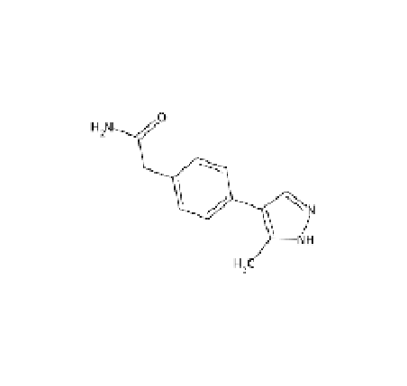 Cc1[nH]ncc1-c1ccc(CC(N)=O)cc1